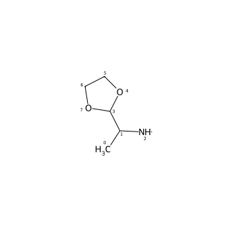 CC([NH])C1OCCO1